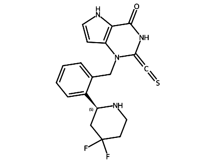 O=C1NC(=C=S)N(Cc2ccccc2[C@@H]2CC(F)(F)CCN2)c2cc[nH]c21